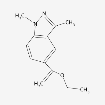 C=C(OCC)c1ccc2c(c1)c(C)nn2C